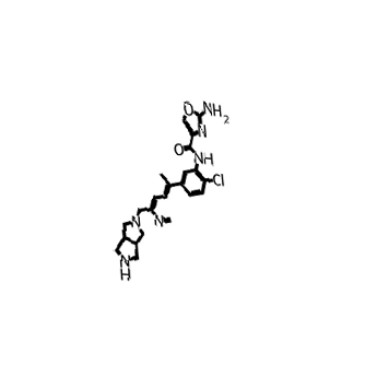 C=N/C(=C\C=C(/C)c1ccc(Cl)c(NC(=O)c2coc(N)n2)c1)CN1CC2CNCC2C1